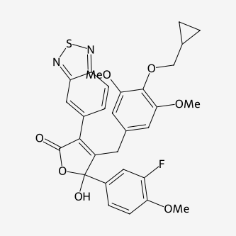 COc1ccc(C2(O)OC(=O)C(c3ccc4nsnc4c3)=C2Cc2cc(OC)c(OCC3CC3)c(OC)c2)cc1F